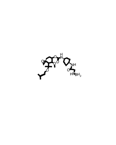 BNCC(=O)N[C@H]1CC[C@H](NC(=O)OC2CC[C@]3(CO3)C(C(C)(C)OCC=C(C)C)C2OC)CC1